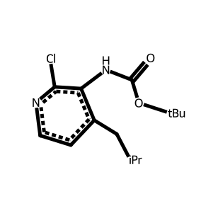 CC(C)Cc1ccnc(Cl)c1NC(=O)OC(C)(C)C